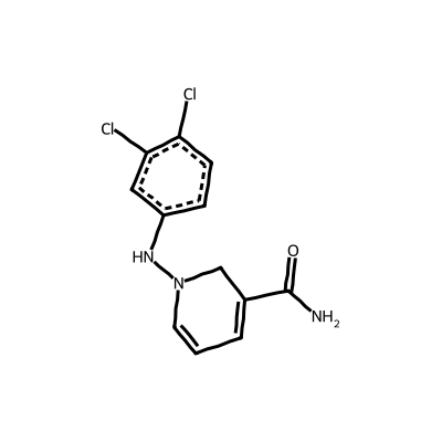 NC(=O)C1=CC=CN(Nc2ccc(Cl)c(Cl)c2)C1